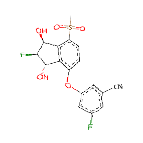 CS(=O)(=O)c1ccc(Oc2cc(F)cc(C#N)c2)c2c1[C@H](O)[C@H](F)[C@H]2O